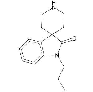 CCCN1C(=O)C2(CCNCC2)c2ccccc21